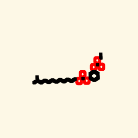 CCOC(=O)OC1CCCC(OC(=O)OCCCCCCCCCCC(C)C)C1